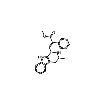 COC(=O)/C(=C/C1NC(C)Cc2c1[nH]c1ccccc21)c1ccccc1